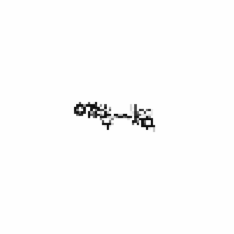 CC(C)C[C@H](NC(=O)C(C)(C)Cc1ccccc1)C(=O)NCCCCNS(=O)(=O)c1ccc(F)cc1Cl